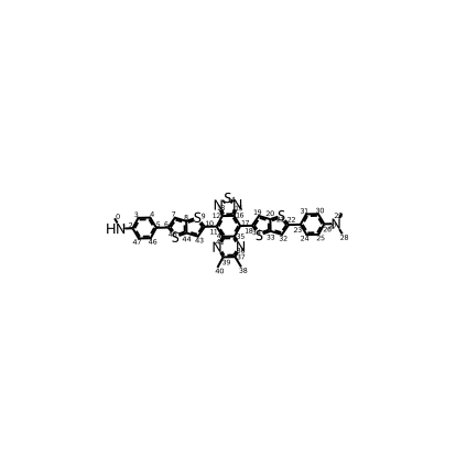 CNc1ccc(-c2cc3sc(-c4c5nsnc5c(-c5cc6sc(-c7ccc(N(C)C)cc7)cc6s5)c5nc(C)c(C)nc45)cc3s2)cc1